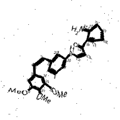 COc1cc(/C=C\c2cccc(N/C=C\C(=O)c3ccccc3N)c2)cc(OC)c1OC